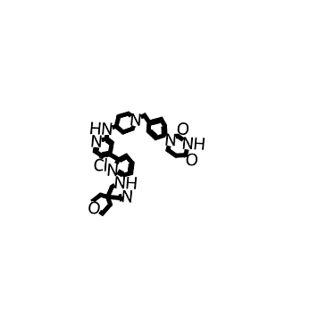 N#CC1(CNc2cccc(-c3cc(NC4CCN(Cc5ccc(N6CCC(=O)NC6=O)cc5)CC4)ncc3Cl)n2)CCOCC1